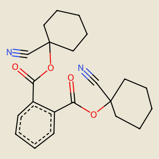 N#CC1(OC(=O)c2ccccc2C(=O)OC2(C#N)CCCCC2)CCCCC1